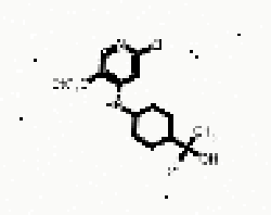 CCOC(=O)c1cnc(Cl)cc1NC1CCC(C(C)(C)O)CC1